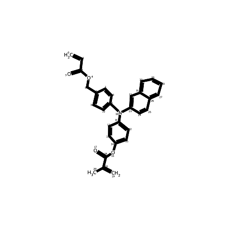 C=CC(=O)OCc1ccc(N(c2ccc(OC(=O)C(=C)C)cc2)c2ccc3ccccc3c2)cc1